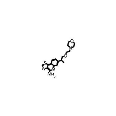 CC(COCCN1CCOCC1)c1ccc2c(c1)nc(N)c1ncsc12